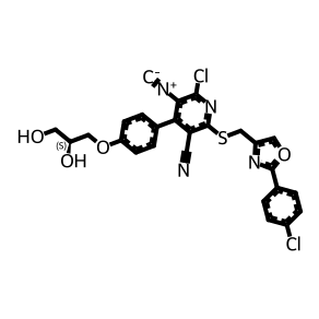 [C-]#[N+]c1c(Cl)nc(SCc2coc(-c3ccc(Cl)cc3)n2)c(C#N)c1-c1ccc(OC[C@@H](O)CO)cc1